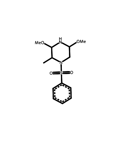 COC1CN(S(=O)(=O)c2ccccc2)C(C)C(OC)N1